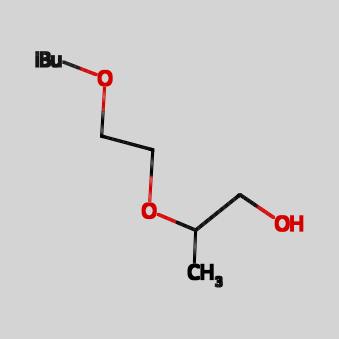 CCC(C)OCCOC(C)CO